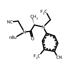 CCCCN(CC#N)C(=O)[C@H](C)N(CC(F)(F)F)c1ccc(C#N)c(C(F)(F)F)c1